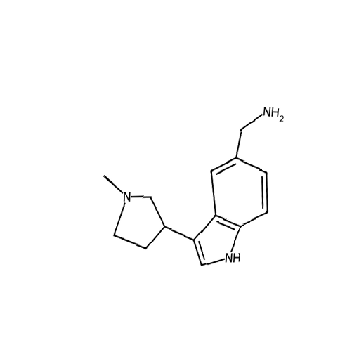 CN1CCC(c2c[nH]c3ccc(CN)cc23)C1